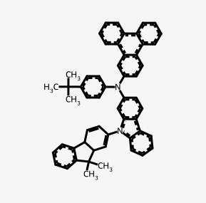 CC(C)(C)c1ccc(N(c2ccc3c4ccccc4c4ccccc4c3c2)c2ccc3c4ccccc4n(C4=CC5C(C=C4)c4ccccc4C5(C)C)c3c2)cc1